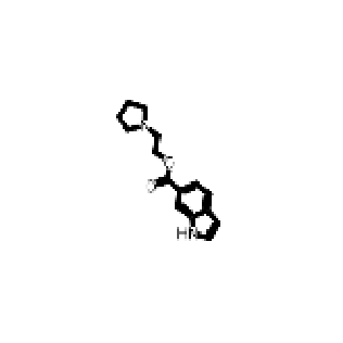 O=C(OCCN1CCCC1)c1ccc2[c]c[nH]c2c1